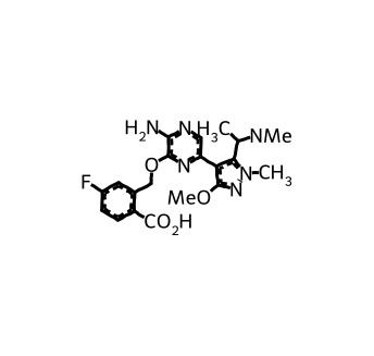 CNC(C)c1c(-c2cnc(N)c(OCc3cc(F)ccc3C(=O)O)n2)c(OC)nn1C